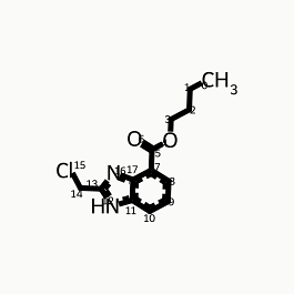 CCCCOC(=O)c1cccc2[nH]c(CCl)nc12